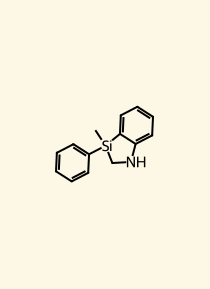 C[Si]1(c2ccccc2)CNc2ccccc21